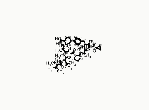 CC[C@H](C)[C@@H]([C@@H](CC(=O)N1CCC[C@H]1[C@H](OC)[C@@H](C)C(=O)N[C@@H](Cc1ccc(N2CCC(C(=O)O)CC2)cc1)C(=O)NS(=O)(=O)C1CC1)OC)N(C)C(=O)[C@@H](NC(=O)C(C(C)C)N(C)C)C(C)C